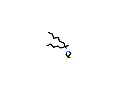 CCCCCCC(C)(CCCCC)N1CC(F)(F)C1